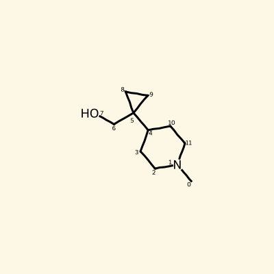 CN1CCC(C2(CO)CC2)CC1